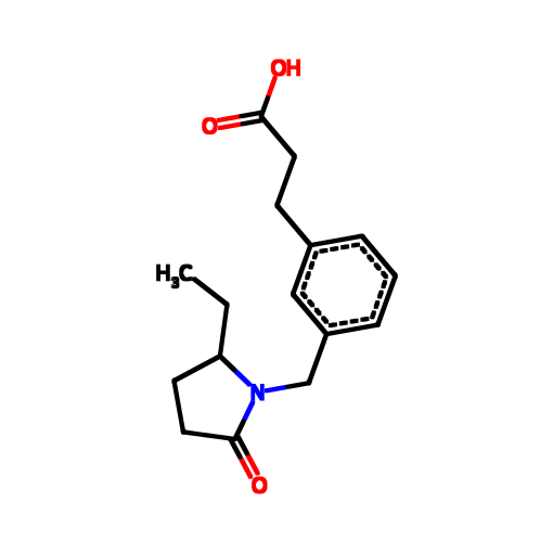 CCC1CCC(=O)N1Cc1cccc(CCC(=O)O)c1